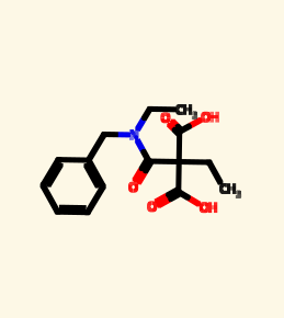 CCN(Cc1ccccc1)C(=O)C(CC)(C(=O)O)C(=O)O